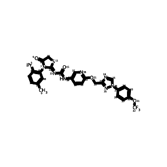 Cc1ccc(C(C)C)c(N2C(=O)CS/C2=N\C(=O)Nc2ccc(OCc3ncn(-c4ccc(OC(F)(F)F)cc4)n3)nc2)c1